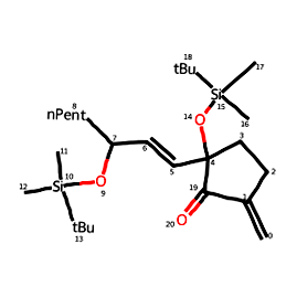 C=C1CCC(C=CC(CCCCC)O[Si](C)(C)C(C)(C)C)(O[Si](C)(C)C(C)(C)C)C1=O